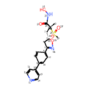 C[C@@](C[C@H]1CC(c2ccc(-c3ccncc3)cc2)=NO1)(C(=O)NO)S(C)(=O)=O